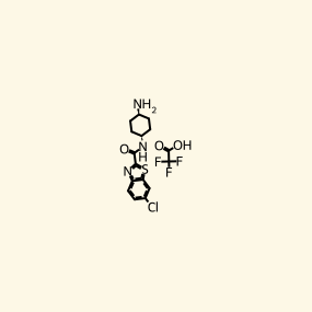 N[C@H]1CC[C@H](NC(=O)c2nc3ccc(Cl)cc3s2)CC1.O=C(O)C(F)(F)F